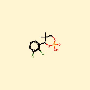 CC1(C)COP(=O)(O)OC1c1cccc(Cl)c1Cl